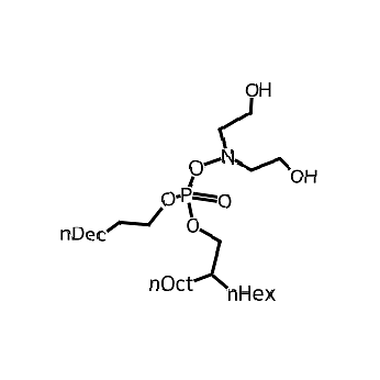 CCCCCCCCCCCCOP(=O)(OCC(CCCCCC)CCCCCCCC)ON(CCO)CCO